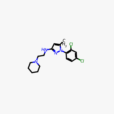 Cc1cc(NCCN2CCCCC2)nn1-c1ccc(Cl)cc1Cl